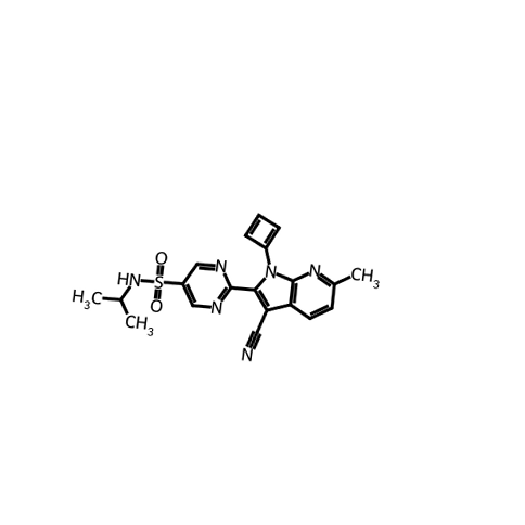 Cc1ccc2c(C#N)c(-c3ncc(S(=O)(=O)NC(C)C)cn3)n(C3=CC=C3)c2n1